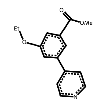 CCOc1cc(C(=O)OC)cc(-c2ccncc2)c1